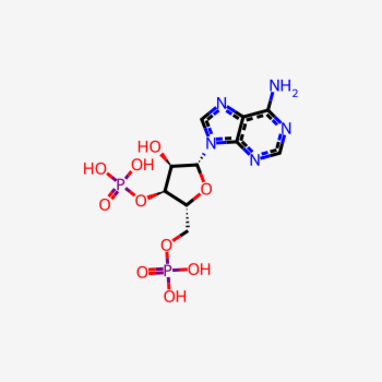 Nc1ncnc2c1ncn2[C@@H]1O[C@H](COP(=O)(O)O)[C@@H](OP(=O)(O)O)[C@H]1O